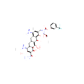 C=CCN(Cc1cc(N(C)C)c2c(c1O)C(=O)C1=C(O)C3(O)C(=O)C(C(N)=O)=C(O)C(N(C)C)C3CC1C2)C(=O)Oc1cccc(C(F)(F)F)c1